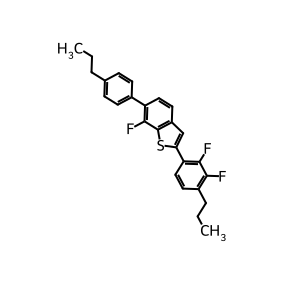 CCCc1ccc(-c2ccc3cc(-c4ccc(CCC)c(F)c4F)sc3c2F)cc1